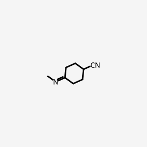 CN=C1CCC(C#N)CC1